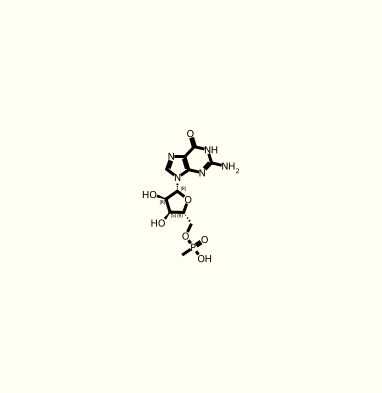 CP(=O)(O)OC[C@H]1O[C@@H](n2cnc3c(=O)[nH]c(N)nc32)[C@H](O)[C@@H]1O